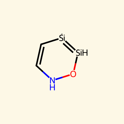 C1=C[Si]=[SiH]ON1